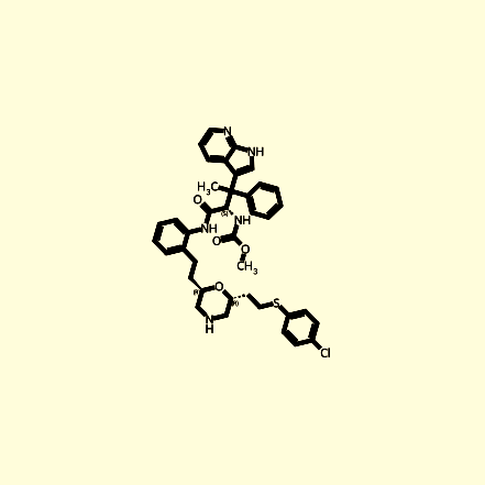 COC(=O)N[C@H](C(=O)Nc1ccccc1CC[C@@H]1CNC[C@@H](CCSc2ccc(Cl)cc2)O1)C(C)(c1ccccc1)c1c[nH]c2ncccc12